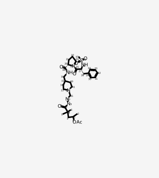 CC(=O)OC(C)CC(C)(C)C(=O)N=NCN1CCC(CNC(=O)[C@@H]2CCCN2C(=O)[C@@H](Cc2ccccc2)NS(C)(=O)=O)CC1